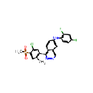 Cc1cc(S(C)(=O)=O)c(Cl)cc1-c1nncc2cc(Nc3ccc(F)cc3F)ccc12